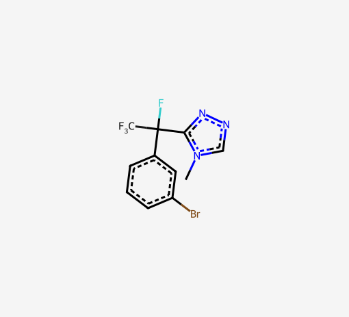 Cn1cnnc1C(F)(c1cccc(Br)c1)C(F)(F)F